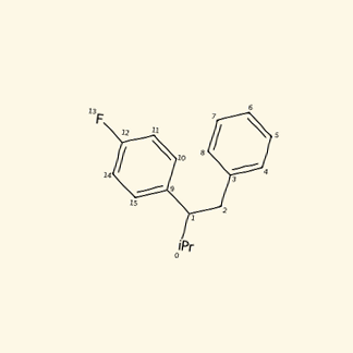 CC(C)C(Cc1ccccc1)c1ccc(F)cc1